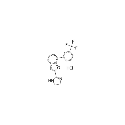 Cl.FC(F)(F)c1cccc(-c2cccc3cc(C4=NCCN4)oc23)c1